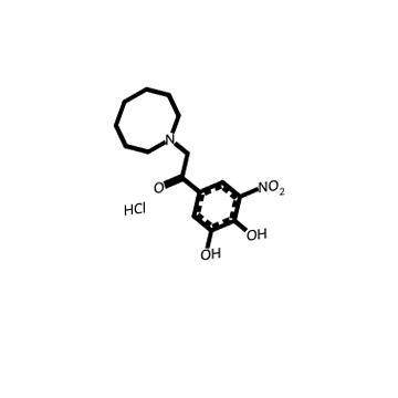 Cl.O=C(CN1CCCCCCC1)c1cc(O)c(O)c([N+](=O)[O-])c1